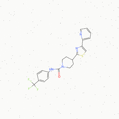 O=C(Nc1ccc(C(F)(F)F)cc1)N1CCC(c2nc(-c3ccccn3)cs2)CC1